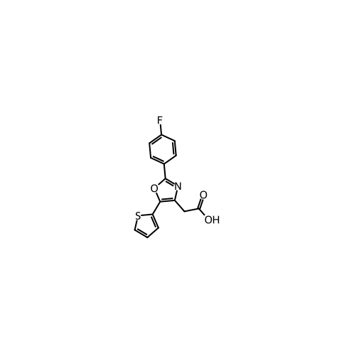 O=C(O)Cc1nc(-c2ccc(F)cc2)oc1-c1cccs1